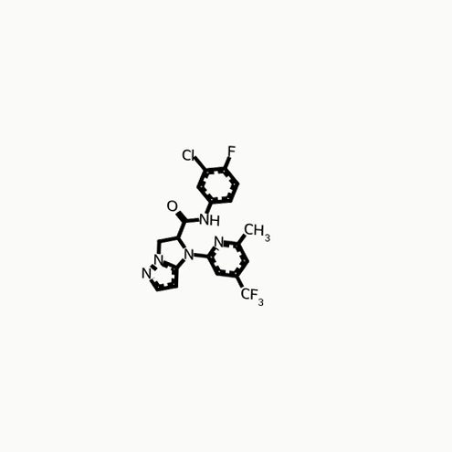 Cc1cc(C(F)(F)F)cc(N2c3ccnn3CC2C(=O)Nc2ccc(F)c(Cl)c2)n1